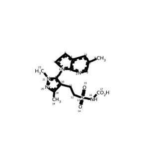 Cc1cnc2c(ccn2-c2c(CCS(=O)(=O)NC(=O)O)c(C)nn2C)c1